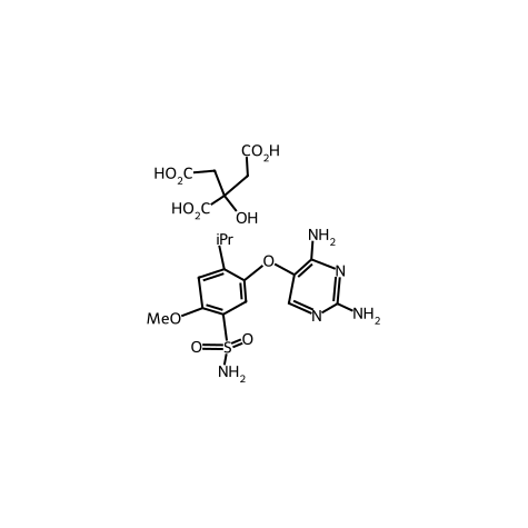 COc1cc(C(C)C)c(Oc2cnc(N)nc2N)cc1S(N)(=O)=O.O=C(O)CC(O)(CC(=O)O)C(=O)O